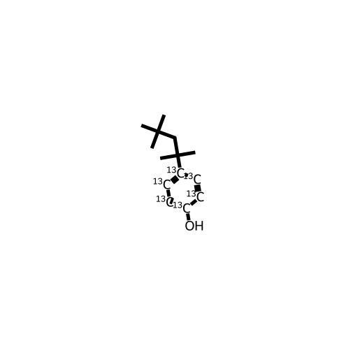 CC(C)(C)CC(C)(C)[13c]1[13cH][13cH][13c](O)[13cH][13cH]1